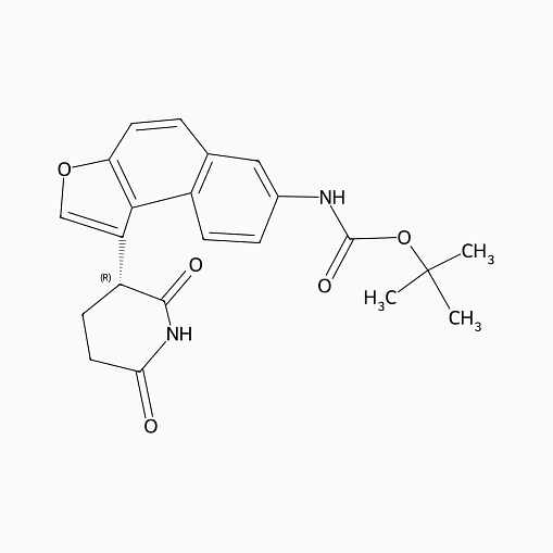 CC(C)(C)OC(=O)Nc1ccc2c(ccc3occ([C@H]4CCC(=O)NC4=O)c32)c1